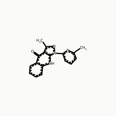 Cc1cccc(-n2nc(C)c3c(=O)c4ccccc4[nH]c32)n1